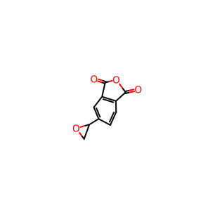 O=C1OC(=O)c2cc(C3CO3)ccc21